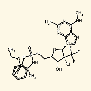 CCOC(=O)[C@@H](C)NP(=O)(OC[C@H]1O[C@@H](n2cnc3c(NC)nc(N)nc32)[C@@](Cl)(C(F)(F)F)[C@@H]1O)Oc1ccccc1